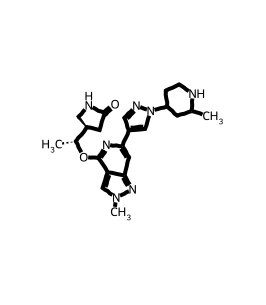 CC1CC(n2cc(-c3cc4nn(C)cc4c(O[C@H](C)[C@H]4CNC(=O)C4)n3)cn2)CCN1